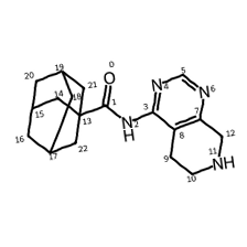 O=C(Nc1ncnc2c1CCNC2)C12CC3CC(CC(C3)C1)C2